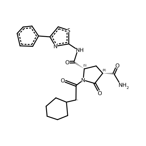 NC(=O)[C@H]1C[C@@H](C(=O)Nc2nc(-c3ccccc3)cs2)N(C(=O)[CH]C2CCCCC2)C1=O